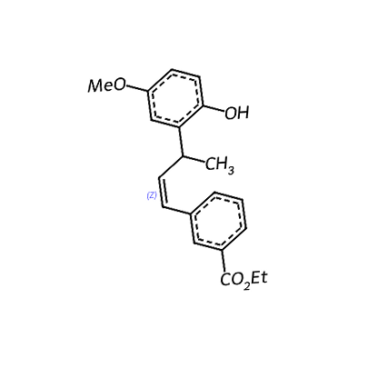 CCOC(=O)c1cccc(/C=C\C(C)c2cc(OC)ccc2O)c1